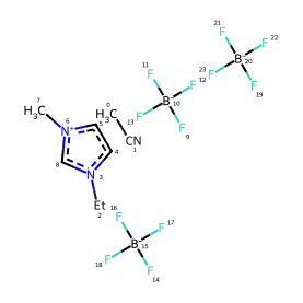 CC#N.CCn1cc[n+](C)c1.F[B-](F)(F)F.F[B-](F)(F)F.F[B-](F)(F)F